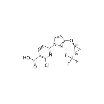 O=C(O)c1c#cc(-n2ccc(O[C@H]3C[C@@H]3C(F)(F)F)n2)nc1Cl